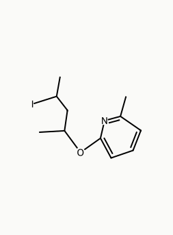 Cc1cccc(OC(C)CC(C)I)n1